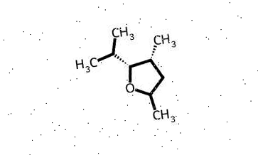 CC1C[C@@H](C)[C@@H](C(C)C)O1